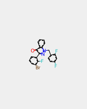 O=c1c(-c2cccc(Br)c2F)nn(Cc2ccc(F)cc2F)c2ccccc12